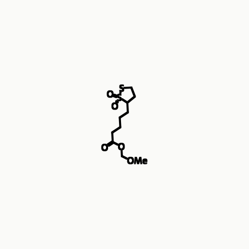 COCOC(=O)CCCCC1CCSS1(=O)=O